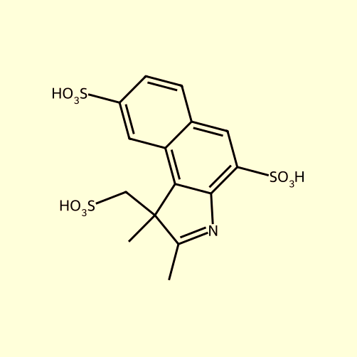 CC1=Nc2c(S(=O)(=O)O)cc3ccc(S(=O)(=O)O)cc3c2C1(C)CS(=O)(=O)O